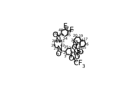 O=C(c1ccc(N(OC(=O)C(F)(F)F)S(=O)(=O)c2cccc3cccnc23)cc1)N1CCCN(C(=O)c2ccc(F)c(F)c2)CC1